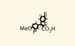 COc1ccc(-c2c(C(=O)O)sc3cc(F)ccc23)cc1F